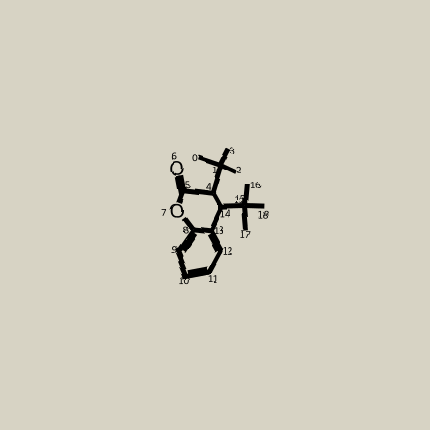 CC(C)(C)C1C(=O)Oc2ccccc2C1C(C)(C)C